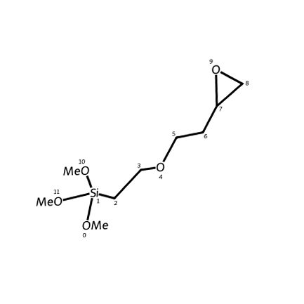 CO[Si](CCOCCC1CO1)(OC)OC